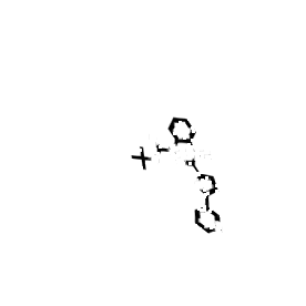 CC(C)(C)OC(=O)Nc1ccccc1NC(=O)c1ccc(-c2cccnc2)s1